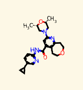 C[C@@H]1CN(c2cc(C(=O)Nc3ccc(C4CC4)cn3)c3c(n2)CCOCC3)C[C@H](C)O1